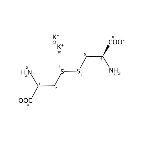 NC(CSSC[C@H](N)C(=O)[O-])C(=O)[O-].[K+].[K+]